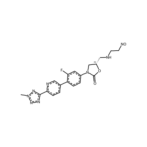 Cn1nnc(-c2ccc(-c3ccc(N4C[C@H](CNCCN=O)OC4=O)cc3F)cn2)n1